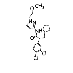 COCCn1ccc(NC(=O)[C@H](CC2CCCC2)c2ccc(Cl)c(Cl)c2)n1